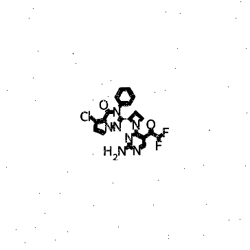 Nc1ncc(C(=O)C(F)F)c(N2CC[C@H]2c2nn3ccc(Cl)c3c(=O)n2-c2ccccc2)n1